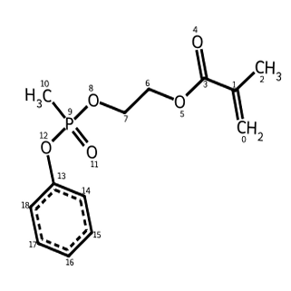 C=C(C)C(=O)OCCOP(C)(=O)Oc1ccccc1